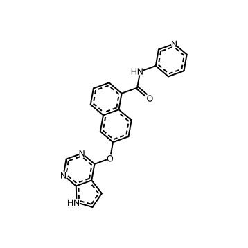 O=C(Nc1cccnc1)c1cccc2cc(Oc3ncnc4[nH]ccc34)ccc12